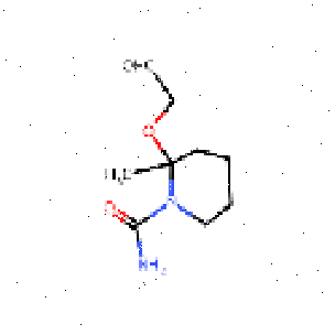 CC1(OCC=O)CCCCN1C(N)=O